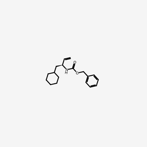 C=C[C@H](CC1CCCCC1)NC(=O)OCc1ccccc1